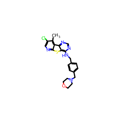 Cc1c(Cl)cnc2sc3c(NCc4ccc(CN5CCOCC5)cc4)ncnc3c12